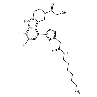 NCCCCCCNC(=O)Cn1ccc(-c2cc(Cl)c(Cl)c3[nH]c4c(c23)CN(C(=O)CO)CC4)n1